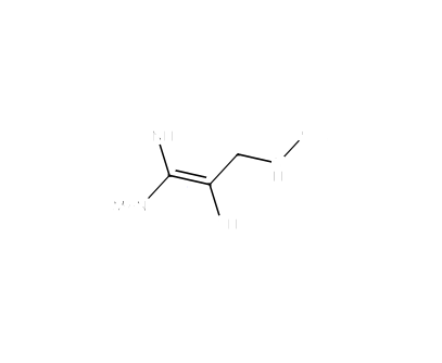 CBC/C(C)=C(\N)NC